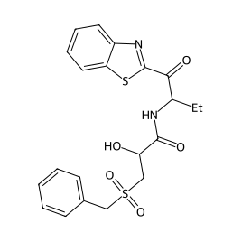 CCC(NC(=O)C(O)CS(=O)(=O)Cc1ccccc1)C(=O)c1nc2ccccc2s1